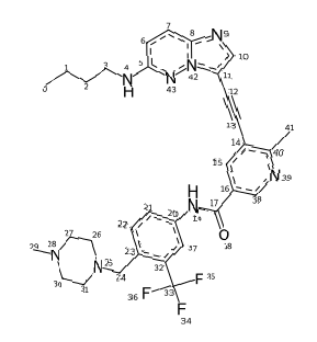 CCCCNc1ccc2ncc(C#Cc3cc(C(=O)Nc4ccc(CN5CCN(C)CC5)c(C(F)(F)F)c4)cnc3C)n2n1